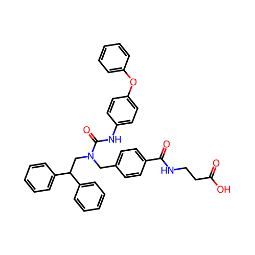 O=C(O)CCNC(=O)c1ccc(CN(CC(c2ccccc2)c2ccccc2)C(=O)Nc2ccc(Oc3ccccc3)cc2)cc1